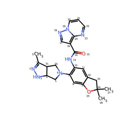 CC1=NNC2CN(c3cc4c(cc3NC(=O)c3cnn5cccnc35)CC(C)(C)O4)CC12